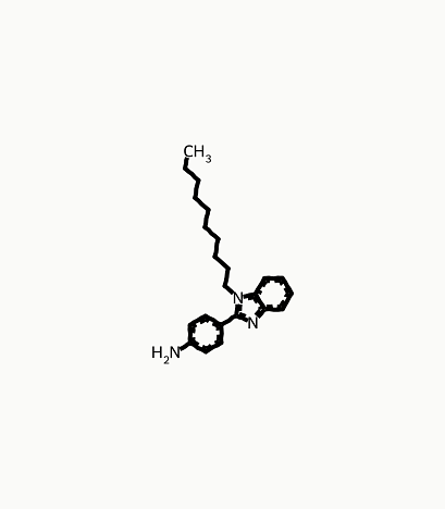 CCCCCCCCCCn1c(-c2ccc(N)cc2)nc2ccccc21